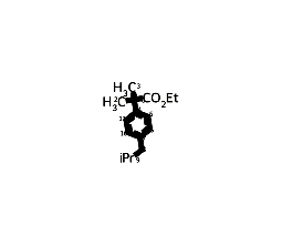 CCOC(=O)C(C)(C)c1ccc(CC(C)C)cc1